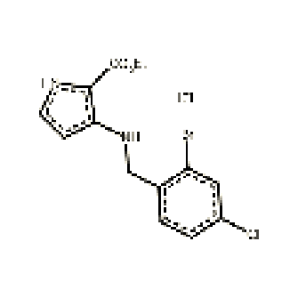 CCOC(=O)c1[nH]ccc1NCc1ccc(Cl)cc1Br.Cl